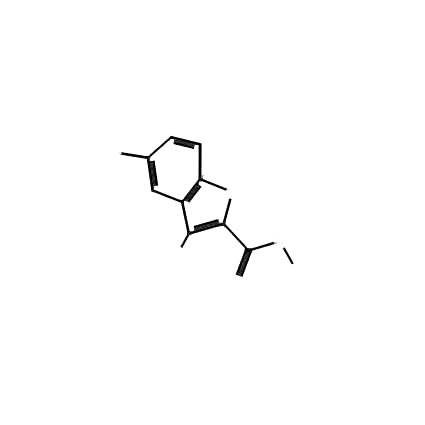 Cc1c(C(=O)NN)[nH]c2ccc(Cl)cc12